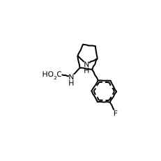 O=C(O)NC1C2CCC(N2)C1c1ccc(F)cc1